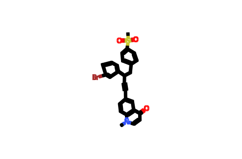 Cn1ccc(=O)c2cc(C#CC(Cc3ccc(S(C)(=O)=O)cc3)c3cccc(Br)c3)ccc21